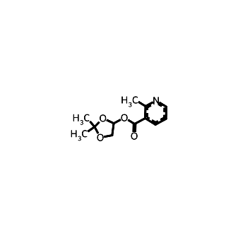 Cc1ncccc1C(=O)OC1COC(C)(C)O1